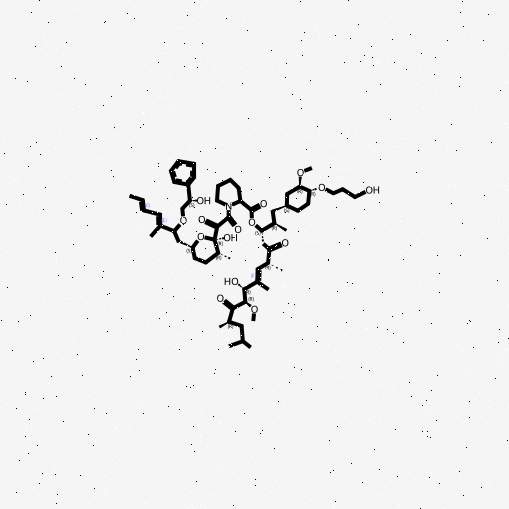 C/C=C/C=C(\C)C(C[C@@H]1CC[C@@H](C)[C@](O)(C(=O)C(=O)N2CCCCC2C(=O)O[C@@H](CC(=O)[C@H](C)/C=C(\C)[C@@H](O)[C@@H](OC)C(=O)[C@H](C)CC(C)C)[C@H](C)C[C@@H]2CC[C@@H](OCCCO)[C@H](OC)C2)O1)OC[C@@H](O)c1ccccc1